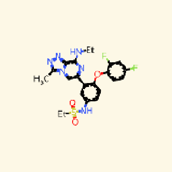 CCNc1nc(-c2cc(NS(=O)(=O)CC)ccc2Oc2ccc(F)cc2F)cn2c(C)nnc12